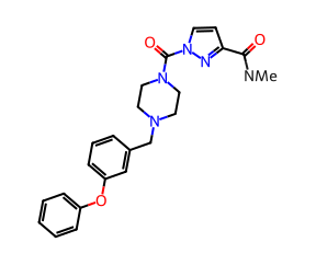 CNC(=O)c1ccn(C(=O)N2CCN(Cc3cccc(Oc4ccccc4)c3)CC2)n1